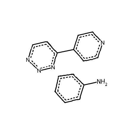 Nc1ccccc1.c1cc(-c2ccnnn2)ccn1